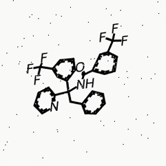 O=C(NC(Cc1ccccc1)(c1cccc(C(F)(F)F)c1)c1ccccn1)c1cccc(C(F)(F)F)c1